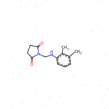 Cc1cccc(NCN2C(=O)CCC2=O)c1C